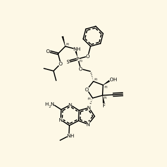 C#C[C@@]1(F)[C@H](O)[C@@H](CO[P@@](=S)(N[C@H](C)C(=O)OC(C)C)Oc2ccccc2)O[C@H]1n1cnc2c(NC)nc(N)nc21